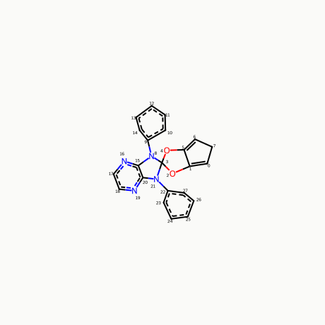 C1=C2OC3(OC2=CC1)N(c1ccccc1)c1nccnc1N3c1ccccc1